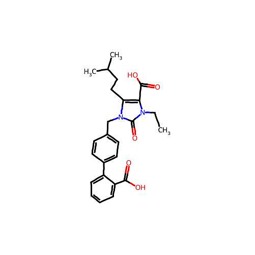 CCn1c(C(=O)O)c(CCC(C)C)n(Cc2ccc(-c3ccccc3C(=O)O)cc2)c1=O